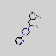 CCC(CC)CC(C)N1CCN(c2ccccn2)CC1